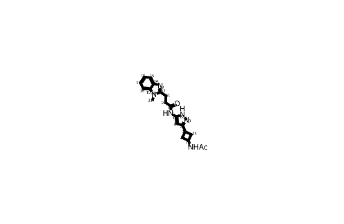 CC(=O)NC1CC(c2cc(NC(=O)CCc3nc4ccccc4n3C)[nH]n2)C1